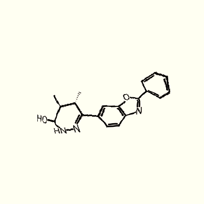 C[C@@H]1C(c2ccc3nc(-c4ccccc4)oc3c2)=NNC(O)[C@H]1C